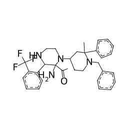 CC(=O)C1(N)C(c2ccccc2C(F)(F)F)NCCN1C1CCN(Cc2ccccc2)C(C)(c2ccccc2)C1